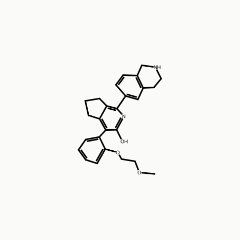 COCCOc1ccccc1-c1c(O)nc(-c2ccc3c(c2)CCNC3)c2c1CCC2